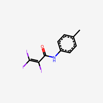 Cc1ccc(NC(=O)C(I)=C(I)I)cc1